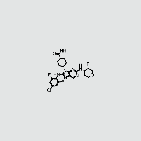 NC(=O)[C@H]1CC[C@H](n2c(Nc3c(F)cc(Cl)cc3F)nc3cnc(N[C@H]4CCOC[C@H]4F)nc32)CC1